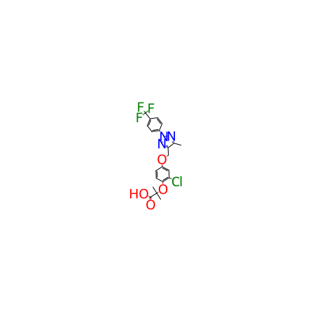 Cc1nn(-c2ccc(C(F)(F)F)cc2)nc1COc1ccc(OC(C)(C)C(=O)O)c(Cl)c1